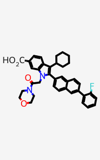 O=C(O)c1ccc2c(C3CCCCC3)c(-c3ccc4cc(-c5ccccc5F)ccc4c3)n(CC(=O)N3CCOCC3)c2c1